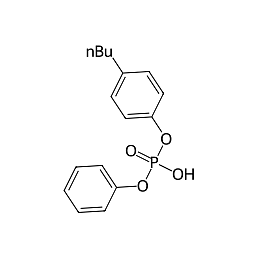 CCCCc1ccc(OP(=O)(O)Oc2ccccc2)cc1